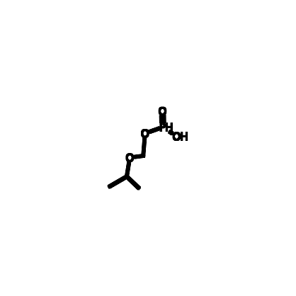 CC(C)OCO[PH](=O)O